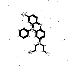 Nc1ccc2nc3ccc(N(CCO)CCO)cc3[n+](-c3ccccc3)c2c1